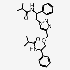 CC(C)C(=O)NC(COCc1cn(CC(NC(=O)C(C)C)c2ccccc2)nn1)c1ccccc1